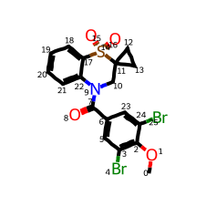 COc1c(Br)cc(C(=O)N2CC3(CC3)S(=O)(=O)c3ccccc32)cc1Br